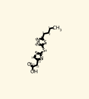 CCCCc1nnc(Sc2nc(CC(=O)O)cs2)s1